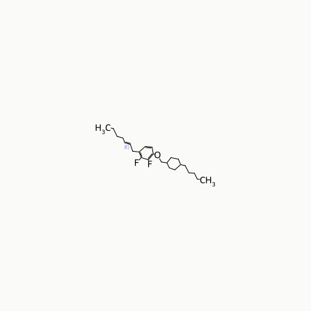 CCCC/C=C/Cc1ccc(OCC2CCC(CCCCC)CC2)c(F)c1F